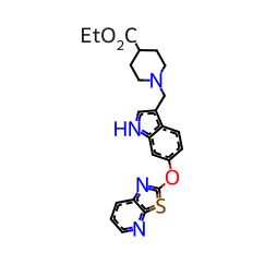 CCOC(=O)C1CCN(Cc2c[nH]c3cc(Oc4nc5cccnc5s4)ccc23)CC1